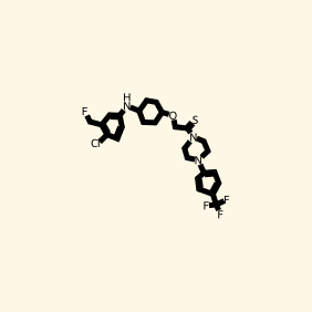 FCc1cc(NC2CCC(OCC(=S)N3CCN(c4ccc(C(F)(F)F)cc4)CC3)CC2)ccc1Cl